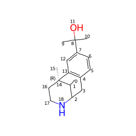 CC1C2Cc3ccc(C(C)(C)O)cc3[C@]1(C)CCN2